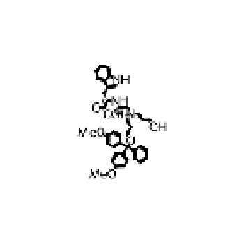 COC(=O)[C@H](Cc1c[nH]c2ccccc12)NC(=O)CN(CCCO)CCCOC(c1ccccc1)(c1ccc(OC)cc1)c1ccc(OC)cc1